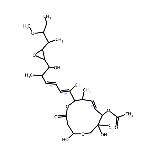 CCC(OC)C(C)C1OC1C(O)C(C)/C=C/C=C(\C)C1OC(=O)CC(O)CCC(C)(O)C(OC(C)=O)/C=C/C1C